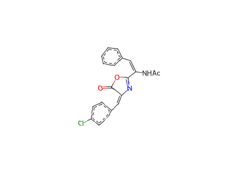 CC(=O)NC(=Cc1ccccc1)C1=NC(=Cc2ccc(Cl)cc2)C(=O)O1